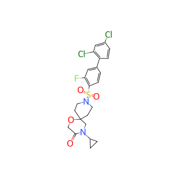 O=C1COC2(CCN(S(=O)(=O)c3ccc(-c4ccc(Cl)cc4Cl)cc3F)CC2)CN1C1CC1